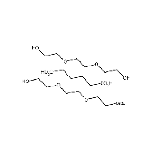 CC(C)COCCOCCOCCO.O=C(O)CCCCC(=O)O.OCCOCCOCCO